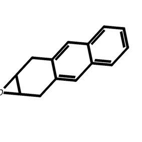 c1ccc2cc3c(cc2c1)CC1OC1C3